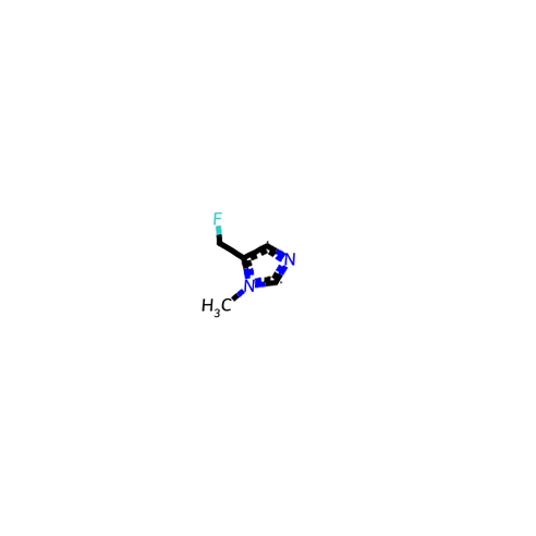 Cn1[c]n[c]c1CF